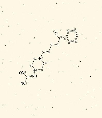 N#CC(N=O)NN1CCN(CCCCC(=O)c2ccccc2)CC1